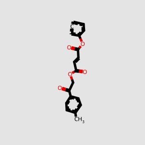 Cc1ccc(C(=O)COC(=O)/C=C/C(=O)Oc2ccccc2)cc1